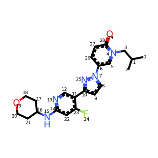 CC(C)Cn1cc(-n2ccc(-c3cnc(NC4CCOCC4)cc3F)n2)ccc1=O